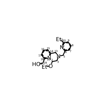 CCOCCN(Cc1cccc(CC)n1)Cc1cccc(CO)n1